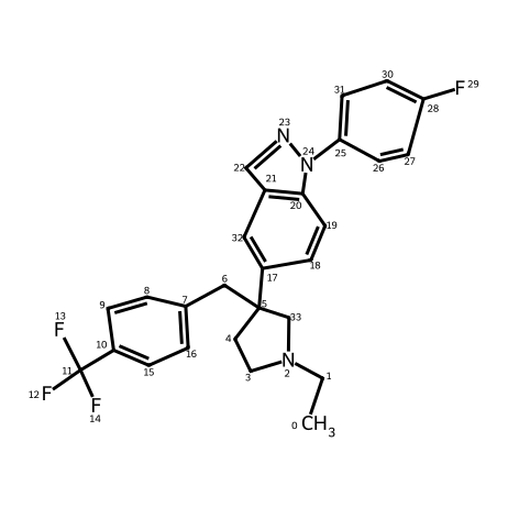 CCN1CCC(Cc2ccc(C(F)(F)F)cc2)(c2ccc3c(cnn3-c3ccc(F)cc3)c2)C1